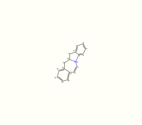 C1=CN2c3ccccc3CC2Cc2ccccc21